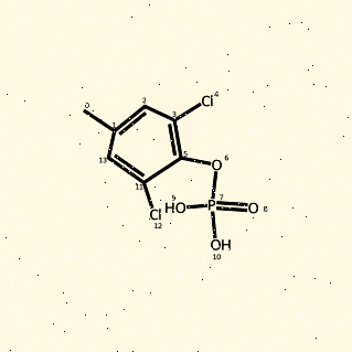 Cc1cc(Cl)c(OP(=O)(O)O)c(Cl)c1